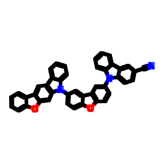 N#Cc1ccc2c(c1)c1ccccc1n2-c1ccc2oc3ccc(-n4c5ccccc5c5cc6c(cc54)oc4ccccc46)cc3c2c1